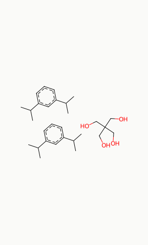 CC(C)c1cccc(C(C)C)c1.CC(C)c1cccc(C(C)C)c1.OCC(CO)(CO)CO